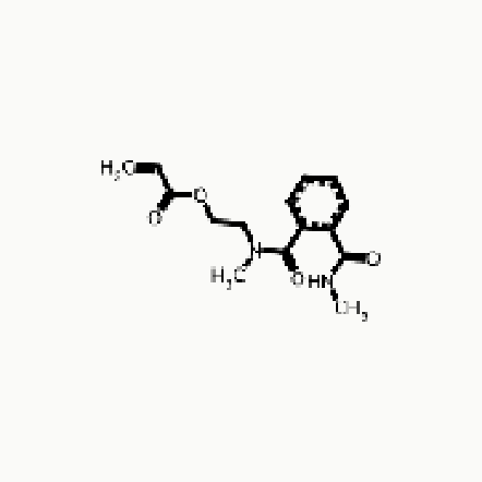 C=CC(=O)OCCN(C)C(=O)c1ccccc1C(=O)NC